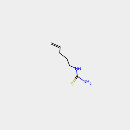 C=CCCCNC(N)=S